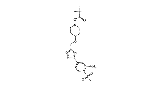 CC(C)(C)C(=O)ON1CCC(OCc2nc(-c3ccc(S(C)(=O)=O)c(N)c3)no2)CC1